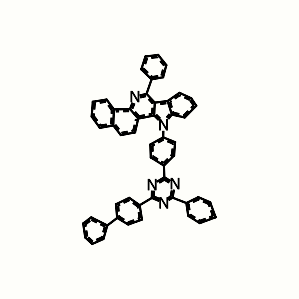 c1ccc(-c2ccc(-c3nc(-c4ccccc4)nc(-c4ccc(-n5c6ccccc6c6c(-c7ccccc7)nc7c8ccccc8ccc7c65)cc4)n3)cc2)cc1